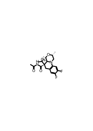 CC(=O)NC(=O)[C@]1(C(C)=O)Cc2cc(F)c(F)cc2N2C[C@@H](C)O[C@@H](C)[C@@H]21